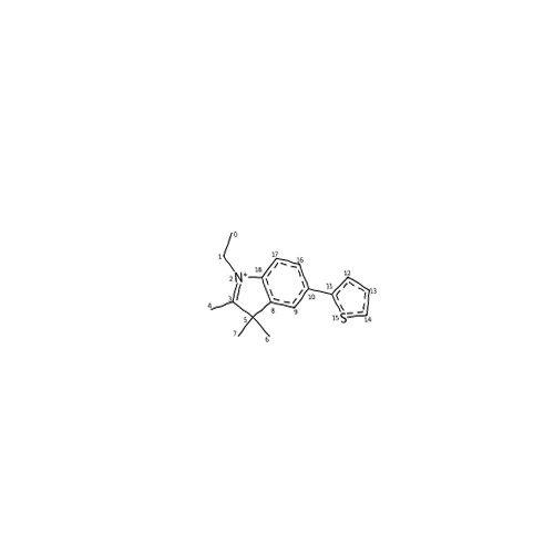 CC[N+]1=C(C)C(C)(C)c2cc(-c3cccs3)ccc21